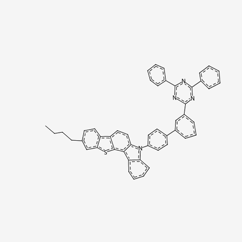 CCCCc1ccc2c(c1)sc1c2ccc2c1c1ccccc1n2-c1ccc(-c2cccc(-c3nc(-c4ccccc4)nc(-c4ccccc4)n3)c2)cc1